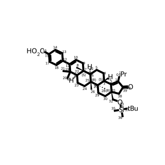 CC(C)C1=C2[C@H]3CC[C@@H]4[C@@]5(C)CC=C(c6ccc(C(=O)O)cc6)C(C)(C)[C@@H]5CC[C@@]4(C)[C@]3(C)CC[C@@]2(CO[Si](C)(C)C(C)(C)C)CC1=O